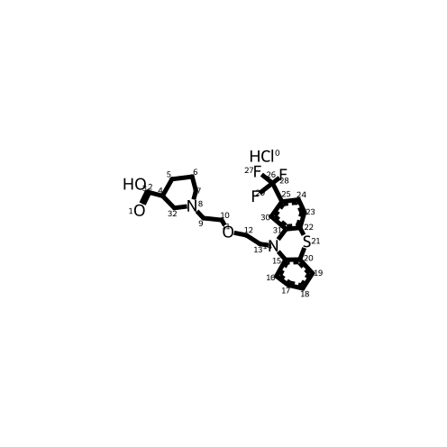 Cl.O=C(O)C1CCCN(CCOCCN2c3ccccc3Sc3ccc(C(F)(F)F)cc32)C1